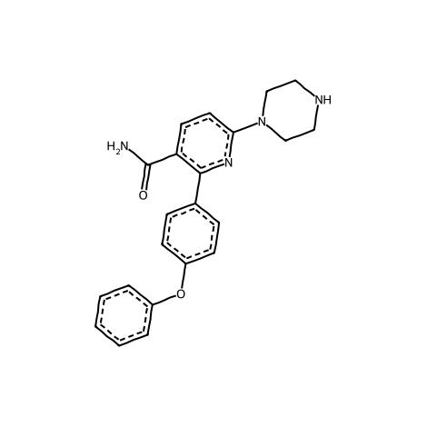 NC(=O)c1ccc(N2CCNCC2)nc1-c1ccc(Oc2ccccc2)cc1